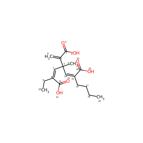 C=C(C(=O)O)C(C)(C=C(CC)C(=O)O)C=C(CCCC)C(=O)O